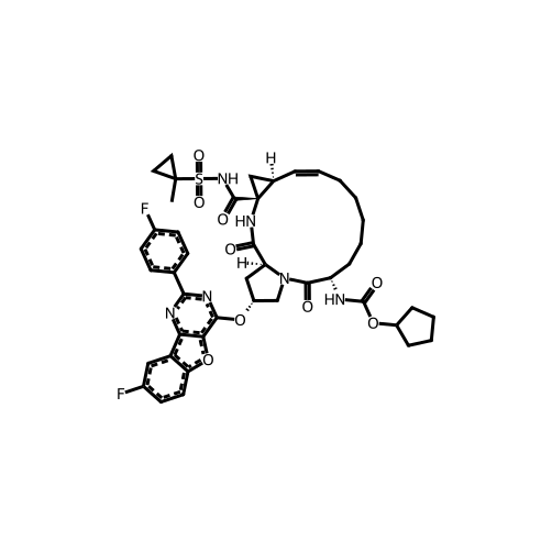 CC1(S(=O)(=O)NC(=O)[C@@]23C[C@H]2/C=C\CCCCC[C@H](NC(=O)OC2CCCC2)C(=O)N2C[C@H](Oc4nc(-c5ccc(F)cc5)nc5c4oc4ccc(F)cc45)C[C@H]2C(=O)N3)CC1